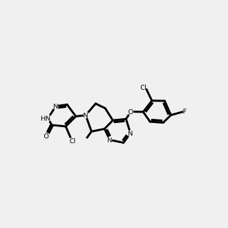 CC1c2ncnc(Oc3ccc(F)cc3Cl)c2CCN1c1cn[nH]c(=O)c1Cl